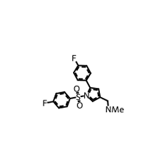 CNCc1cc(-c2ccc(F)cc2)n(S(=O)(=O)c2ccc(F)cc2)c1